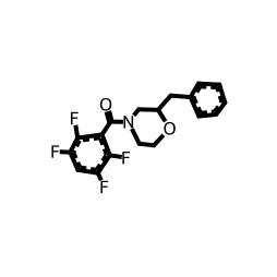 O=C(c1c(F)c(F)cc(F)c1F)N1CCOC(Cc2ccccc2)C1